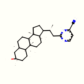 C[C@@H](Cc1nccc(C#N)n1)C1CC[C@H]2[C@@H]3CC[C@@H]4C[C@](C)(O)CC[C@@H]4[C@H]3CC[C@]12C